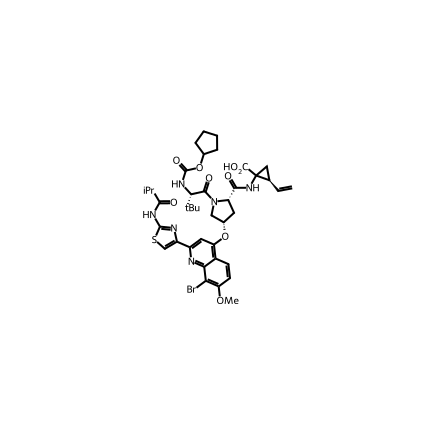 C=C[C@@H]1CC1(NC(=O)[C@@H]1C[C@H](Oc2cc(-c3csc(NC(=O)C(C)C)n3)nc3c(Br)c(OC)ccc23)CN1C(=O)[C@@H](NC(=O)OC1CCCC1)C(C)(C)C)C(=O)O